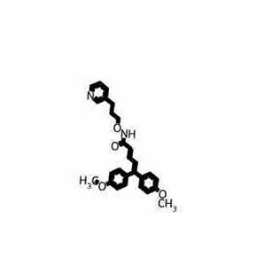 COc1ccc(C(=CC=CC(=O)NOCCCc2cccnc2)c2ccc(OC)cc2)cc1